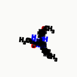 CCCNC(=O)c1nc(NCc2ccc(OC)cc2)c2cnn(Cc3ccc(CC)cc3)c2n1